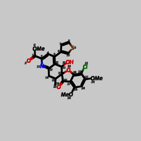 COC(=O)c1cc(-c2ccsc2)c2c(n1)CC(C)C1(Oc3c(Cl)c(OC)cc(OC)c3C1=O)C2O